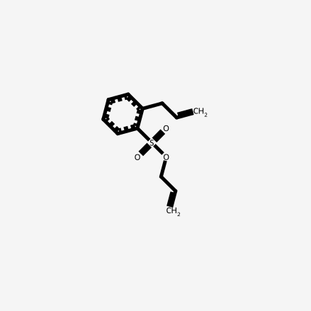 C=CCOS(=O)(=O)c1ccccc1CC=C